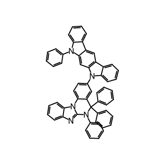 c1ccc(N2c3nc4ccccc4n3-c3ccc(-n4c5ccccc5c5cc6c7ccccc7n(-c7ccccc7)c6cc54)cc3C2(c2ccccc2)c2ccccc2)cc1